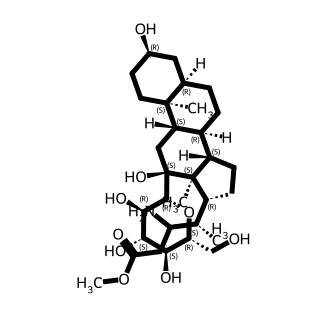 COC(=O)CC(N)[C@@H](C)[C@H]1CC[C@H]2[C@@H]3CC[C@@H]4C[C@H](O)CC[C@]4(C)[C@H]3C[C@@](O)([C@@H]3O[C@H](CO)[C@@H](O)[C@H](O)[C@H]3O)[C@]12C